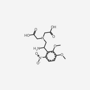 COc1ccc([N+](=O)[O-])c(C(N)CN(CC(=O)O)CC(=O)O)c1OC